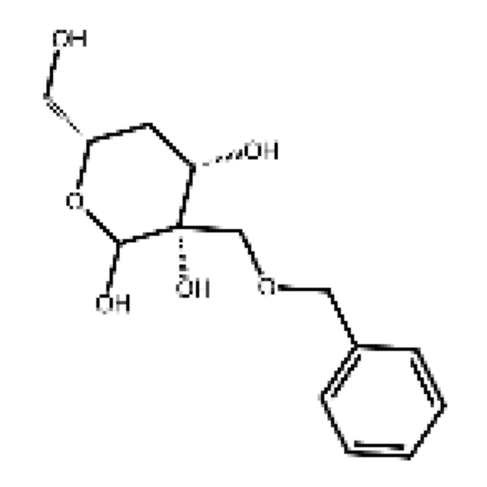 OC[C@@H]1C[C@H](O)[C@@](O)(COCc2ccccc2)C(O)O1